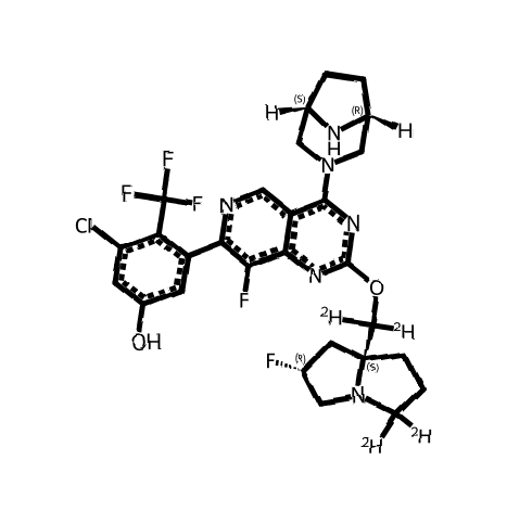 [2H]C1([2H])CC[C@@]2(C([2H])([2H])Oc3nc(N4C[C@H]5CC[C@@H](C4)N5)c4cnc(-c5cc(O)cc(Cl)c5C(F)(F)F)c(F)c4n3)C[C@@H](F)CN12